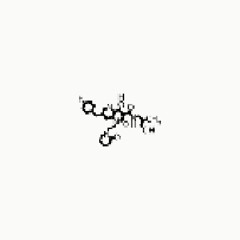 CC(CO)CNC(=O)c1c(O)c2ncc(Cc3ccc(F)cc3)cc2n(CCN2CCCCC2=O)c1=O